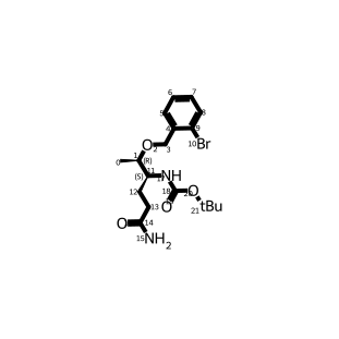 C[C@@H](OCc1ccccc1Br)[C@H](CCC(N)=O)NC(=O)OC(C)(C)C